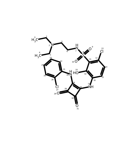 CCN(CC)CCNS(=O)(=O)c1c(Cl)ccc(Nc2c(Nc3ccccc3Cl)c(=O)c2=O)c1O